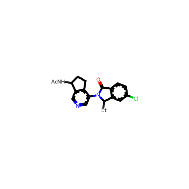 CCC1c2cc(Cl)ccc2C(=O)N1c1cncc2c1CCC2NC(C)=O